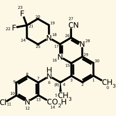 Cc1cc([C@@H](C)Nc2ccc(Cl)nc2C(=O)O)c2nc(N3CCC(F)(F)CC3)c(C#N)nc2c1